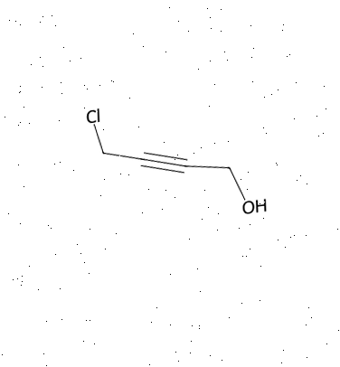 OCC#CCCl